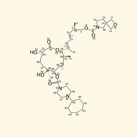 C/C(=C\C=C\[C@@H](C)COC(=O)N1CCC2(COC2)C1)[C@H]1OC(=O)C[C@@H](O)CC[C@](C)(O)[C@H](OC(=O)N2CCN(C3CCCCCC3)CC2)/C=C/[C@@H]1C